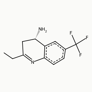 CCC1=Nc2ccc(C(F)(F)F)cc2[C@@H](N)C1